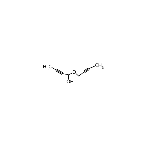 CC#CCOC(O)C#CC